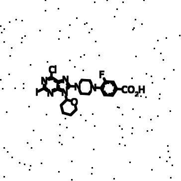 O=C(O)c1ccc(N2CCN(c3nc4c(Cl)nc(I)nc4n3C3CCCCO3)CC2)c(F)c1